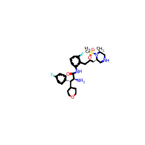 C[C@H]1CNC[C@H](CCCc2c(F)cccc2NC(=O)[C@@H](N)[C@@H](c2ccc(F)cc2)C2CCOCC2)N1S(C)(=O)=O